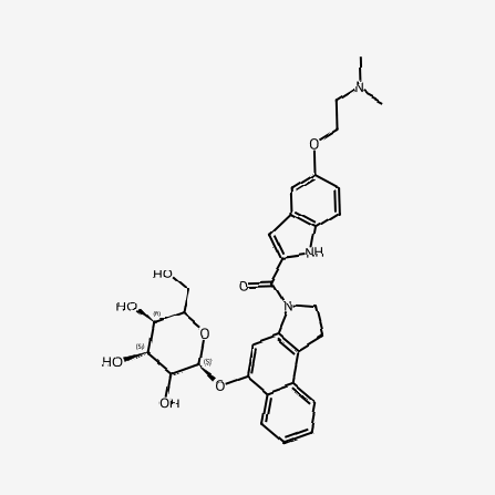 CN(C)CCOc1ccc2[nH]c(C(=O)N3CCc4c3cc(O[C@@H]3OC(CO)[C@H](O)[C@H](O)C3O)c3ccccc43)cc2c1